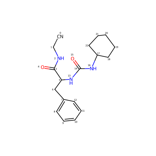 N#CCNC(=O)C(Cc1ccccc1)NC(=O)NC1CCCCC1